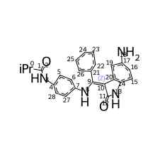 CC(C)C(=O)Nc1ccc(N/C(=C2\C(=O)Nc3ccc(N)cc32)c2ccccc2)cc1